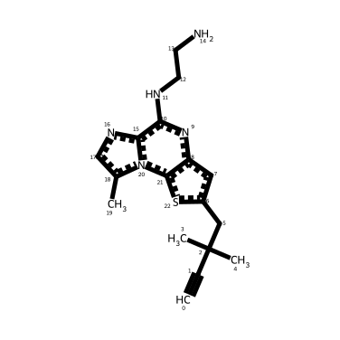 C#CC(C)(C)Cc1cc2nc(NCCN)c3ncc(C)n3c2s1